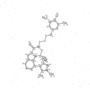 Cc1cc(OCCCN2CC(C)n3c(cc4cccc(-c5c(C)nn(C)c5C)c43)C2=O)cc(C)c1Cl